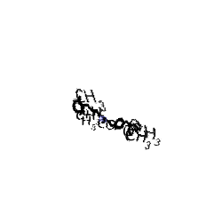 COC(Cc1ccc(OC/C(C)=C/CCCCC2=C(C)CCCC2(C)C)cc1)OC